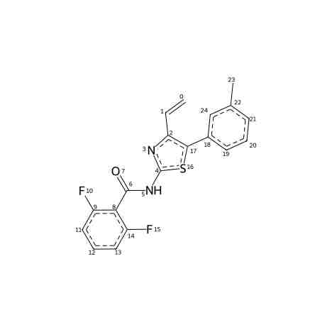 C=Cc1nc(NC(=O)c2c(F)cccc2F)sc1-c1cccc(C)c1